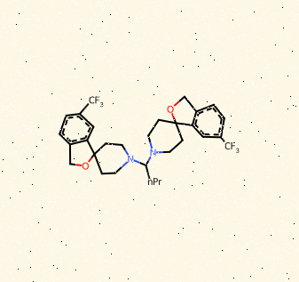 CCCC(N1CCC2(CC1)OCc1ccc(C(F)(F)F)cc12)N1CCC2(CC1)OCc1ccc(C(F)(F)F)cc12